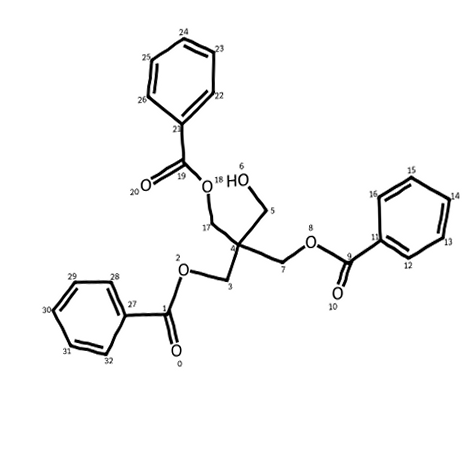 O=C(OCC(CO)(COC(=O)c1ccccc1)COC(=O)c1ccccc1)c1ccccc1